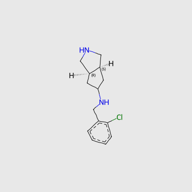 Clc1ccccc1CNC1C[C@H]2CNC[C@H]2C1